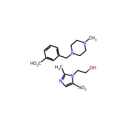 CN1CCN(Cc2cccc(C(=O)O)c2)CC1.Cc1ncc([N+](=O)[O-])n1CCO